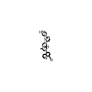 CC1CN(c2ccc(C#N)c3ncccc23)C[C@@H]2CN(c3ccnc(N4CCNCC4)n3)CCN12